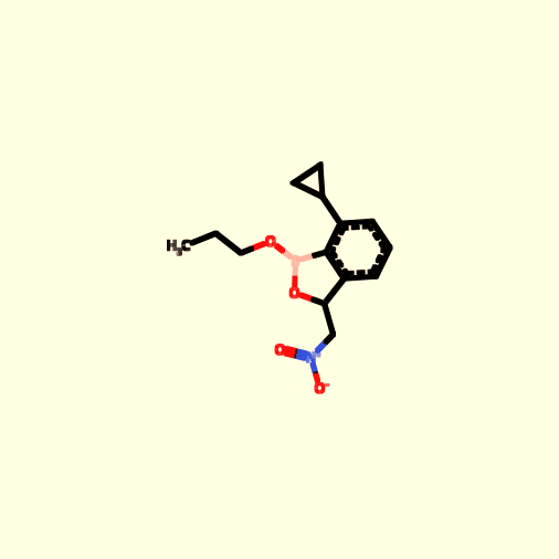 CCCOB1OC(C[N+](=O)[O-])c2cccc(C3CC3)c21